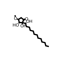 CCCCCCCCCCCCC(O)C1(O)C(=O)CC(OC)C1O